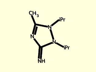 Cc1nc(=N)n(C(C)C)n1C(C)C